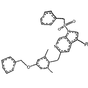 Cc1cc(OCc2ccccc2)cc(C)c1Cc1cc2c(C(C)C)cn(S(=O)(=O)Cc3ccccc3)c2cn1